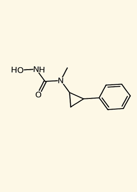 CN(C(=O)NO)C1CC1c1ccccc1